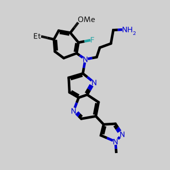 CCC1=CCC(N(CCCCN)c2ccc3ncc(-c4cnn(C)c4)cc3n2)=C(F)C(OC)=C1